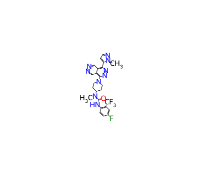 CN(C(=O)Nc1ccc(F)cc1C(F)(F)F)C1CCN(c2nnc(-c3ccnn3C)c3cnncc23)CC1